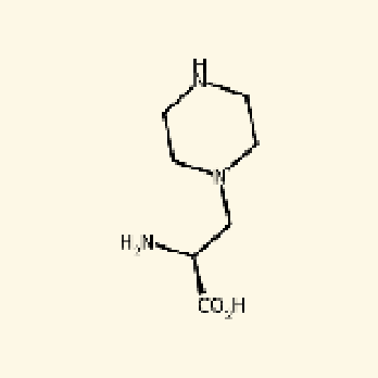 N[C@@H](CN1CCNCC1)C(=O)O